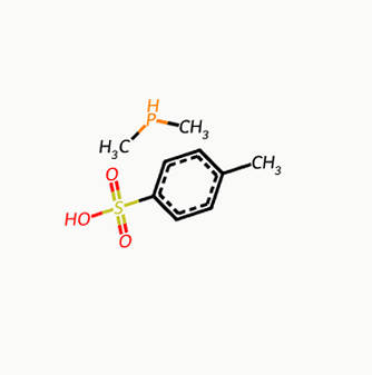 CPC.Cc1ccc(S(=O)(=O)O)cc1